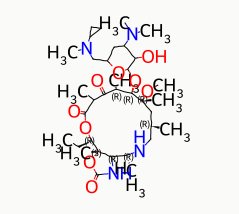 CC[C@H]1OC(=O)C(C)C(=O)[C@H](C)[C@@H](OC2OC(CN(C)C3CC3)CC(N(C)C)C2O)[C@](C)(OC)C[C@@H](C)CN[C@H](C)[C@H]2NC(=O)O[C@@]21C